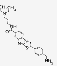 CCN(CC)CCCNC(=O)c1ccc2c(c1)nc1sc(-c3ccc(CN)cc3)cn12